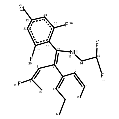 C\C=C/C(=C\CC)C(/C=C(\C)F)=C(\NCC(F)F)c1c(F)cc(Cl)cc1F